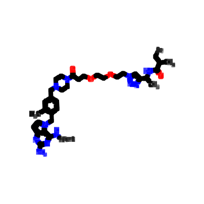 CCCCCNc1nc(N)nc2ccn(Cc3ccc(CN4CCN(C(=O)CCOCCOCCn5cc(C(C)NC(=O)C(C)CC(C)=O)nn5)CC4)cc3C)c12